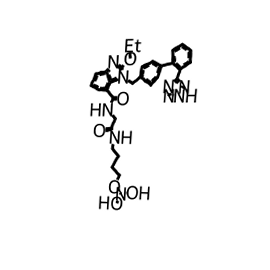 CCOc1nc2cccc(C(=O)NCC(=O)NCCCCON(O)O)c2n1Cc1ccc(-c2ccccc2-c2nn[nH]n2)cc1